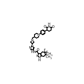 CC1(C)Cc2[nH]nc(C(=O)Nc3cnn(C4CN(CC5CCN(c6ccc(C7CCC(=O)NC7=O)cc6)CC5)C4)c3)c2CC1(F)F